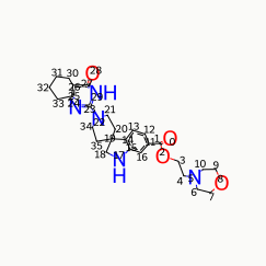 O=C(OCCN1CCOCC1)c1ccc2c(c1)NCC21CCN(c2nc3c(c(=O)[nH]2)CCCC3)CC1